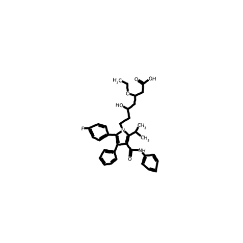 CCOC(CC(=O)O)CC(O)CCn1c(-c2ccc(F)cc2)c(-c2ccccc2)c(C(=O)Nc2ccccc2)c1C(C)C